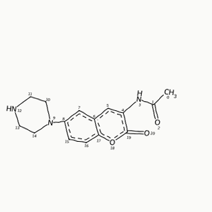 CC(=O)Nc1cc2cc(N3CCNCC3)ccc2oc1=O